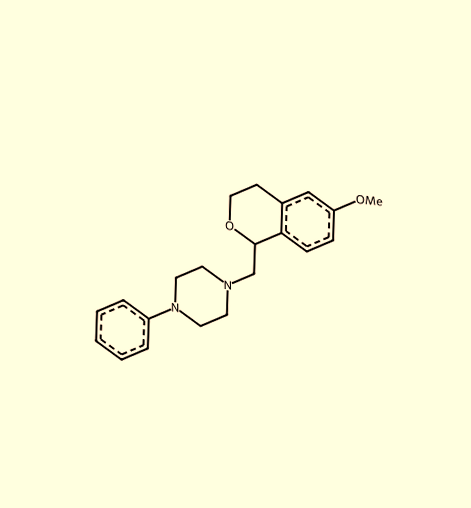 COc1ccc2c(c1)CCOC2CN1CCN(c2ccccc2)CC1